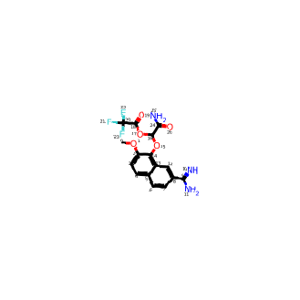 COc1ccc2ccc(C(=N)N)cc2c1OC(OC(=O)C(F)(F)F)C(N)=O